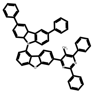 Cc1c(-c2ccccc2)nc(-c2ccccc2)nc1-c1ccc2c(c1)oc1cccc(N3c4ccc(-c5ccccc5)cc4C4C=C(c5ccccc5)C=CC43)c12